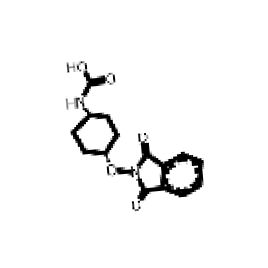 O=C(O)N[C@H]1CC[C@H](ON2C(=O)c3ccccc3C2=O)CC1